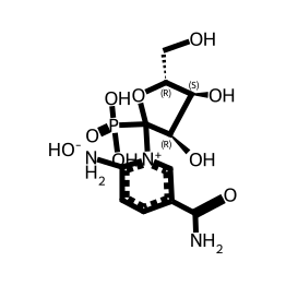 NC(=O)c1ccc(N)[n+](C2(P(=O)(O)O)O[C@H](CO)[C@@H](O)[C@H]2O)c1.[OH-]